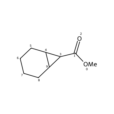 COC(=O)C1C2CCCCC21